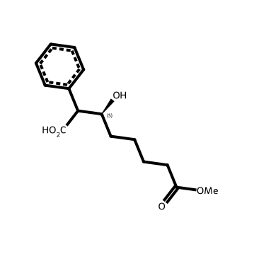 COC(=O)CCCC[C@H](O)C(C(=O)O)c1ccccc1